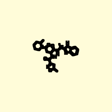 Cc1cc(C(=O)NC(CC(=O)N2CCCCC2C)C(=O)N[C@@H](C)c2nc3ccccc3[nH]2)no1